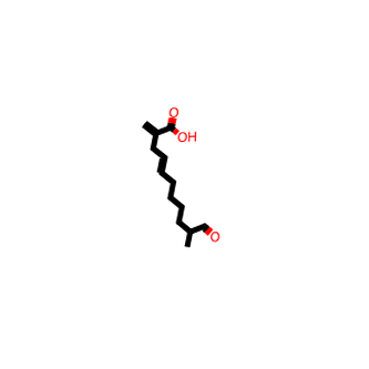 C=C(CC=CCCCCC(C)C=O)C(=O)O